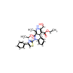 CCOC(=O)C1=C(C)NC(CO)=C(C(=O)OCC)C1c1ccccc1Nc1nc(-c2ccccc2)cs1